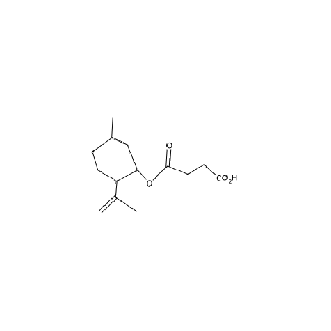 C=C(C)C1CCC(C)CC1OC(=O)CCC(=O)O